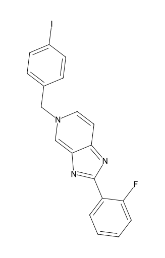 Fc1ccccc1-c1nc2ccn(Cc3ccc(I)cc3)cc-2n1